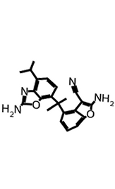 CC(C)c1ccc(C(C)(C)c2cccc3oc(N)c(C#N)c23)c2oc(N)nc12